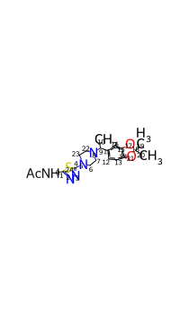 CC(=O)Nc1nnc(N2CCN(C(C)c3ccc4c(c3)OC(C)(C)O4)CC2)s1